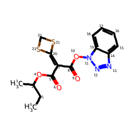 CCC(C)OC(=O)C(C(=O)On1nnc2ccccc21)=C1SCS1